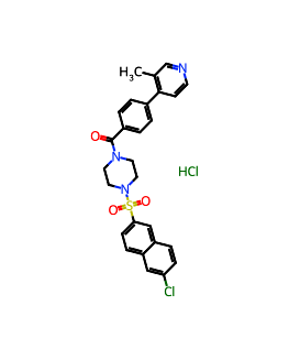 Cc1cnccc1-c1ccc(C(=O)N2CCN(S(=O)(=O)c3ccc4cc(Cl)ccc4c3)CC2)cc1.Cl